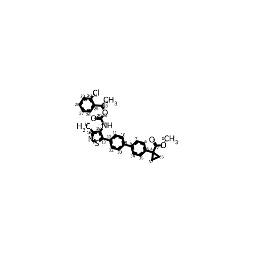 COC(=O)C1(c2ccc(-c3ccc(-c4snc(C)c4NC(=O)O[C@H](C)c4ccccc4Cl)cc3)cc2)CC1